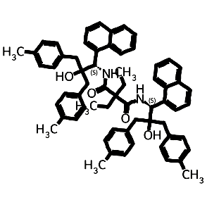 CCC(CC)(C(=O)N[C@@H](c1cccc2ccccc12)C(O)(Cc1ccc(C)cc1)Cc1ccc(C)cc1)C(=O)N[C@@H](c1cccc2ccccc12)C(O)(Cc1ccc(C)cc1)Cc1ccc(C)cc1